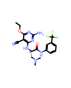 CCOc1nc(N)nc(N[C@@H](CN(C)C)C(=O)Nc2cccc(C(F)(F)F)c2)c1C#N